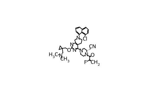 C=C(F)C(=O)N1CCN(c2nc(OCC3(CN(C)C)CC3)nc3c2CCN(c2cccc4cccc(Cl)c24)C3)C[C@@H]1CC#N